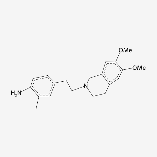 COc1cc2c(cc1OC)CN(CCc1ccc(N)c(C)c1)CC2